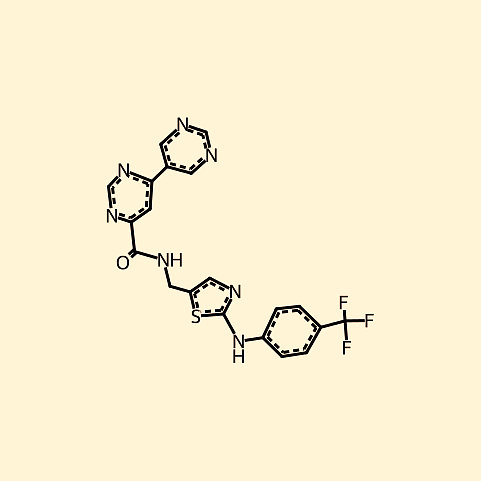 O=C(NCc1cnc(Nc2ccc(C(F)(F)F)cc2)s1)c1cc(-c2cncnc2)ncn1